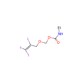 CCNC(=O)OCOCC(I)=C(I)I